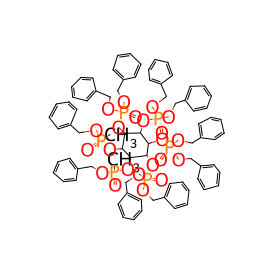 CP(=O)(OCc1ccccc1)OC1C(OP(C)(=O)OCc2ccccc2)C(OP(=O)(OCc2ccccc2)OCc2ccccc2)C(OP(=O)(OCc2ccccc2)OCc2ccccc2)C(OP(=O)(OCc2ccccc2)OCc2ccccc2)C1OP(=O)(OCc1ccccc1)OCc1ccccc1